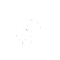 CN(C(=O)c1cc2c(F)cc(F)cc2[nH]1)C1COCc2[nH]c(=O)c3cc(F)c(F)cc3c21